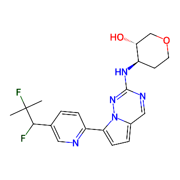 CC(C)(F)C(F)c1ccc(-c2ccc3cnc(N[C@@H]4CCOC[C@H]4O)nn23)nc1